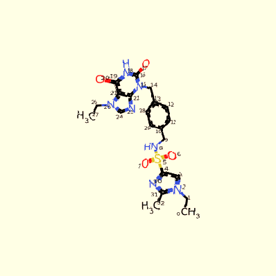 CCn1cc(S(=O)(=O)NCc2ccc(Cn3c(=O)[nH]c(=O)c4c3ncn4CC)cc2)nc1C